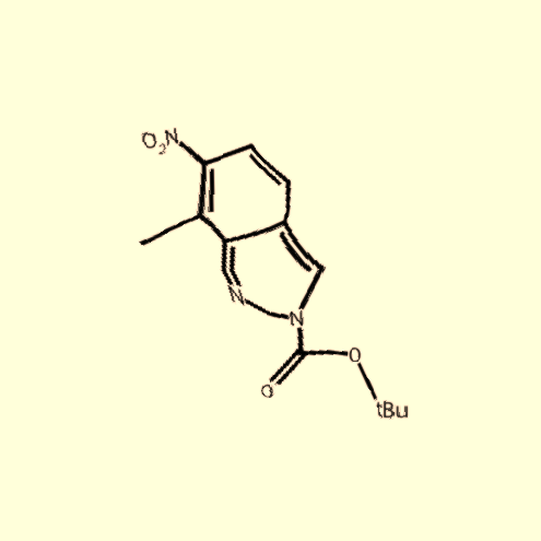 Cc1c([N+](=O)[O-])ccc2cn(C(=O)OC(C)(C)C)nc12